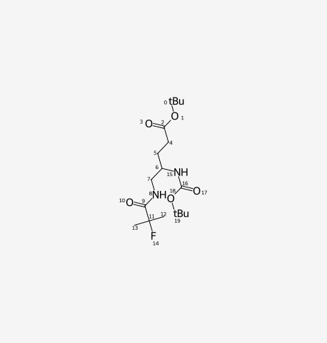 CC(C)(C)OC(=O)CCC(CNC(=O)C(C)(C)F)NC(=O)OC(C)(C)C